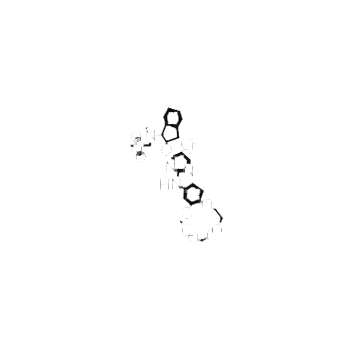 CN(CS(C)(=O)=O)[C@@H]1c2ccccc2C[C@H]1Oc1nc(Nc2ccc3c(c2)OCCOCCOCCO3)ncc1C(F)(F)F